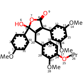 COc1ccc(C2(O)OC(=O)C(c3cc(OC)cc(OC)c3)=C2Cc2ccc(OC(C)C)c(OC)c2)cc1